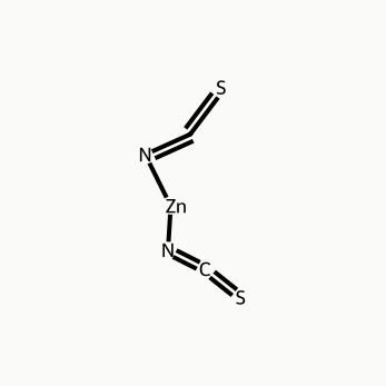 S=C=[N][Zn][N]=C=S